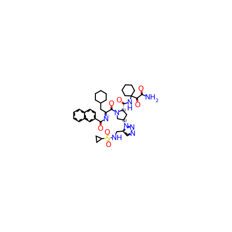 NC(=O)C(=O)C1(NC(=O)[C@@H]2C[C@H](n3nncc3CNS(=O)(=O)C3CC3)CN2C(=O)/C(CC2CCCCC2)=N/C(=O)c2ccc3ccccc3c2)CCCCC1